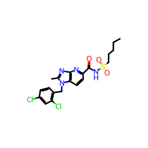 CCCCCS(=O)(=O)NC(=O)c1ccc2c(n1)nc(C)n2Cc1ccc(Cl)cc1Cl